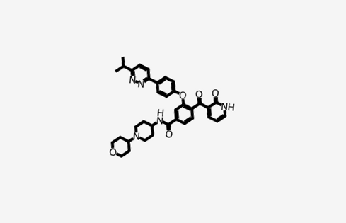 CC(C)c1ccc(-c2ccc(Oc3cc(C(=O)NC4CCN(C5CCOCC5)CC4)ccc3C(=O)c3ccc[nH]c3=O)cc2)nn1